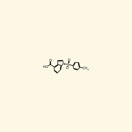 Cc1ccc(S(=O)(=O)n2ccc3c(C(=O)O)cccc32)cc1